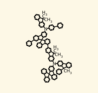 CC1(C)c2ccccc2-c2ccc(N(c3ccc(-c4ccccc4)cc3)c3ccc4c(c3)-c3ccc(-c5ccccc5)cc3C43c4ccccc4-c4c(-c5ccc6c(c5)C(C)(C)c5cc(N(c7ccc8c(c7)-c7ccccc7C87c8ccccc8-c8ccccc87)c7ccc8c(c7)C(C)(c7ccccc7)c7ccccc7-8)ccc5-6)cccc43)cc21